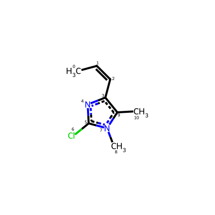 C/C=C\c1nc(Cl)n(C)c1C